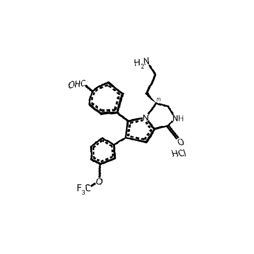 Cl.NCC[C@H]1CNC(=O)c2cc(-c3cccc(OC(F)(F)F)c3)c(-c3ccc(C=O)cc3)n21